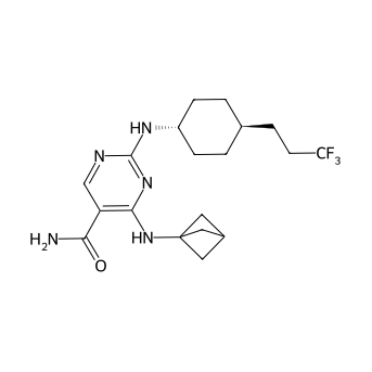 NC(=O)c1cnc(N[C@H]2CC[C@H](CCC(F)(F)F)CC2)nc1NC12CC(C1)C2